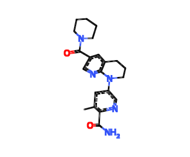 Cc1cc(N2CCCc3cc(C(=O)N4CCCCC4)cnc32)cnc1C(N)=O